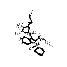 CCOC(=O)c1c([PH](=O)c2cc(C)c(C)c(C=CC#N)c2)c2cc(Cl)ccc2n1S(=O)(=O)c1ccccc1